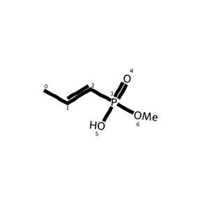 CC=CP(=O)(O)OC